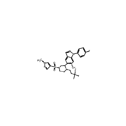 Cc1cc2c(cnn2-c2ccc(F)cc2)cc1C1CN(S(=O)(=O)c2cnn(C)c2)CCN1CCC(F)(F)F